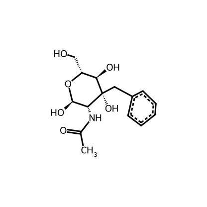 CC(=O)N[C@@H]1[C@@H](O)O[C@H](CO)[C@@H](O)[C@@]1(O)Cc1ccccc1